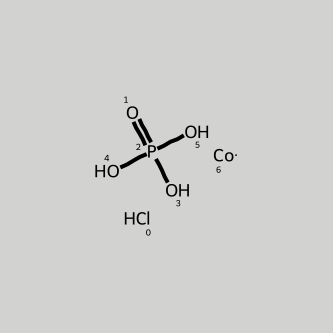 Cl.O=P(O)(O)O.[Co]